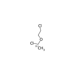 C[C@H](Cl)OCCCl